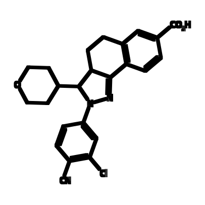 N#Cc1ccc(N2N=C3c4ccc(C(=O)O)cc4CCC3C2C2CCOCC2)cc1Cl